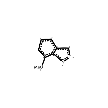 COc1cccc2conc12